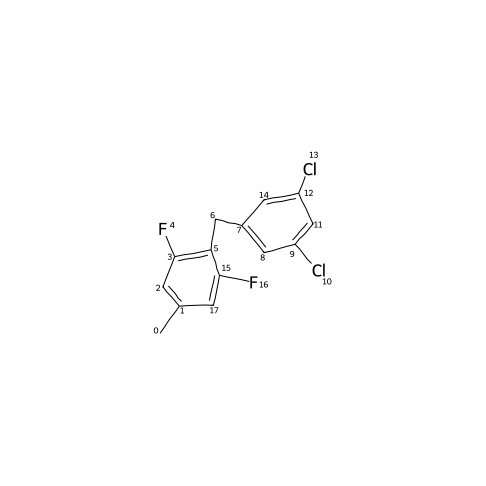 Cc1cc(F)c(Cc2cc(Cl)cc(Cl)c2)c(F)c1